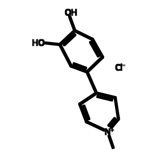 C[n+]1ccc(-c2ccc(O)c(O)c2)cc1.[Cl-]